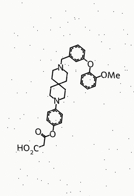 COc1ccccc1Oc1cccc(CN2CCC3(CC2)CCN(c2ccc(OC(=O)CC(=O)O)cc2)CC3)c1